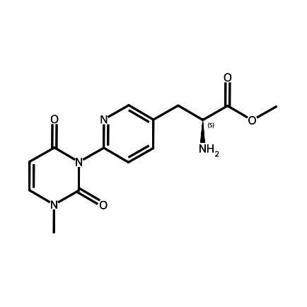 COC(=O)[C@@H](N)Cc1ccc(-n2c(=O)ccn(C)c2=O)nc1